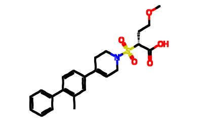 COCC[C@H](C(=O)O)S(=O)(=O)N1CC=C(c2ccc(-c3ccccc3)c(C)c2)CC1